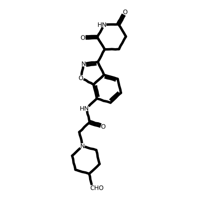 O=CC1CCN(CC(=O)Nc2cccc3c(C4CCC(=O)NC4=O)noc23)CC1